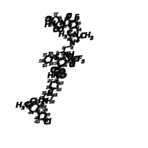 CC1CN(CCC(CSc2ccccc2)Nc2ccc(S(=O)(=O)NC(=O)c3ccc(N4CCN(CC5=C(c6ccc(Cl)cc6)CCC(C)(C)C5)CC4)cc3)cc2S(=O)(=O)C(F)(F)F)CC(C)N1Cc1cc(F)c2c(c1)C(=O)N(C1CCC(=O)NC1=O)C2=O